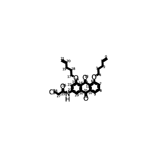 C=CCCCOc1cccc2c1C(=O)c1c(OCCCC=C)cc(NC(=O)CCl)cc1C2=O